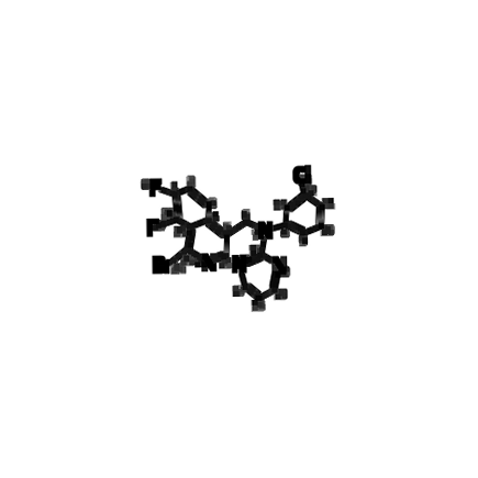 Fc1ccc2c(CN(c3cccc(Cl)c3)c3ncccn3)cnc(Br)c2c1F